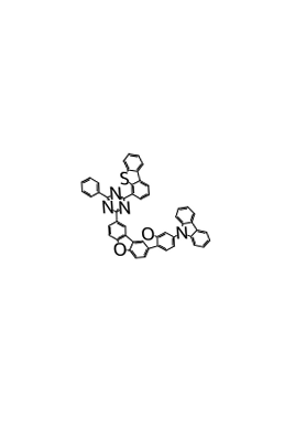 c1ccc(-c2nc(-c3ccc4oc5ccc6c7ccc(-n8c9ccccc9c9ccccc98)cc7oc6c5c4c3)nc(-c3cccc4c3sc3ccccc34)n2)cc1